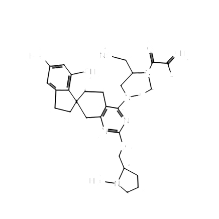 C=C(F)C(=O)N1CCN(c2nc(OCC3CCCN3C)nc3c2CCC2(CCc4cc(C)cc(C)c42)C3)CC1CC#N